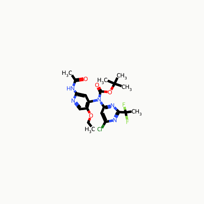 CCOc1cnc(NC(C)=O)cc1N(C(=O)OC(C)(C)C)c1cc(Cl)nc(C(C)(F)F)n1